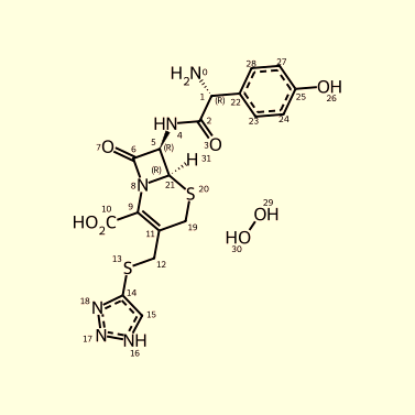 N[C@@H](C(=O)N[C@@H]1C(=O)N2C(C(=O)O)=C(CSc3c[nH]nn3)CS[C@H]12)c1ccc(O)cc1.OO